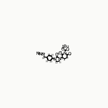 CC(C)(C)OC(=O)N1C(=O)CCC(N2CCN(c3ccc(CN=[N+]=[N-])cc3)C2=O)C1=O